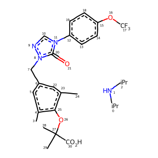 CC(C)NC(C)C.Cc1cc(Cn2ncn(-c3ccc(OC(F)(F)F)cc3)c2=O)cc(C)c1OC(C)(C)C(=O)O